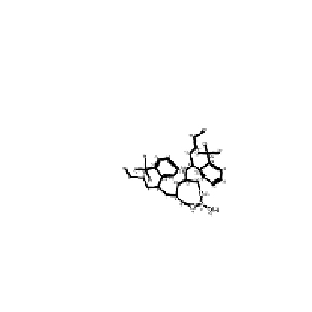 CCCCC(CC1COP(O)OCC(CC(CCCC)c2ccccc2C(C)(C)C)C1)c1ccccc1C(C)(C)C